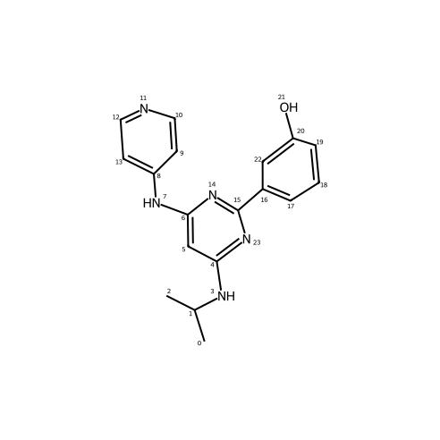 CC(C)Nc1cc(Nc2ccncc2)nc(-c2cccc(O)c2)n1